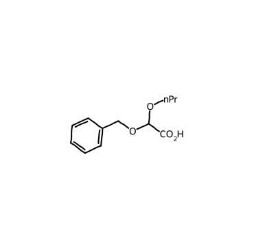 CCCOC(OCc1ccccc1)C(=O)O